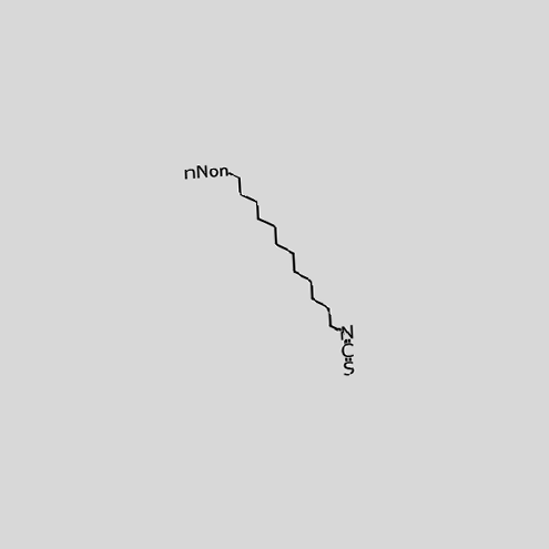 CCCCCCCCCCCCCCCCCCCCCN=C=S